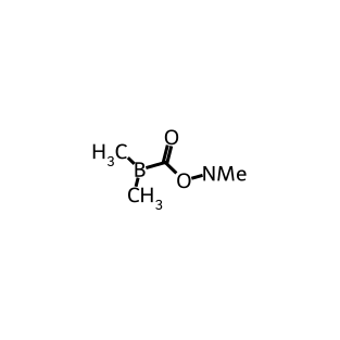 CNOC(=O)B(C)C